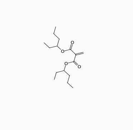 C=C(C(=O)OC(CC)CCC)C(=O)OC(CC)CCC